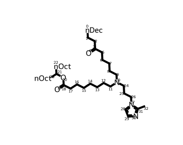 CCCCCCCCCCCCC(=O)CCCCCN(CCCCCCCC(=O)OC(CCCCCCCC)CCCCCCCC)CCCn1ccnc1C